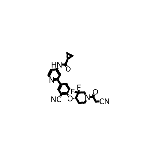 N#CCC(=O)N1CC[C@H](Oc2ccc(-c3cc(NC(=O)C4CC4)ccn3)cc2C#N)C(F)(F)C1